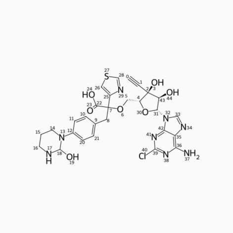 C#C[C@@]1(O)[C@@H](COC(Cc2ccc(N3CCCNC3O)cc2)(C(=O)O)c2cscn2)O[C@@H](n2cnc3c(N)nc(Cl)nc32)[C@@H]1O